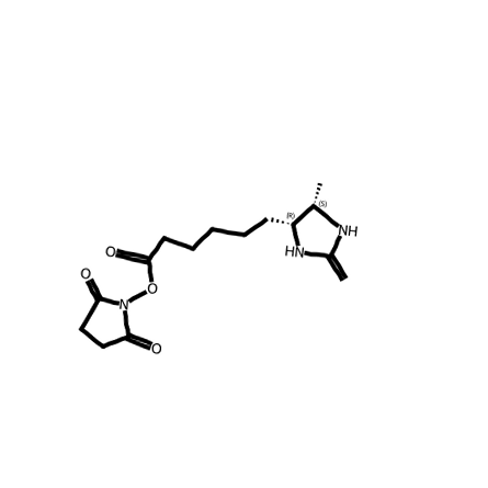 C=C1N[C@@H](C)[C@@H](CCCCCC(=O)ON2C(=O)CCC2=O)N1